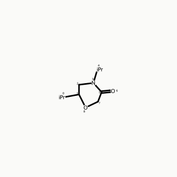 CC(C)C1CN(C(C)C)C(=O)CO1